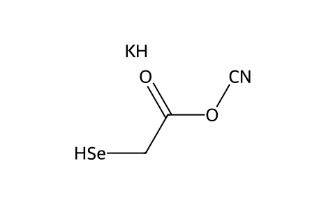 N#COC(=O)C[SeH].[KH]